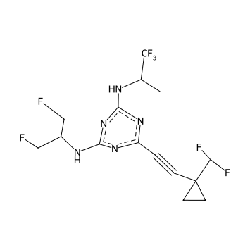 CC(Nc1nc(C#CC2(C(F)F)CC2)nc(NC(CF)CF)n1)C(F)(F)F